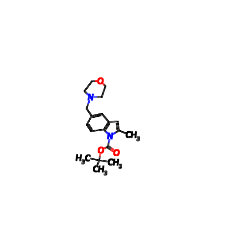 Cc1cc2cc(CN3CCOCC3)ccc2n1C(=O)OC(C)(C)C